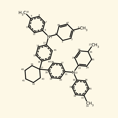 CC1=CCC(N(c2ccc(C)cc2)c2ccc(C3(c4ccc(N(C5=CCC(C)C=C5)c5ccc(C)cc5)cc4)CCCCC3)cc2)C=C1